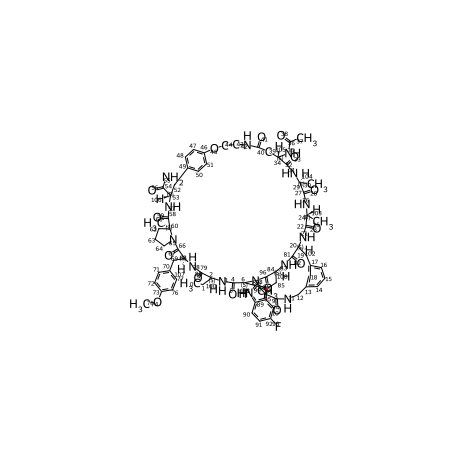 CC[C@@H]1NC(=O)[C@@H]2CCC(=O)NCc3cccc(c3)C[C@H](NC(=O)[C@@H](C)NC(=O)[C@H](C)NC(=O)[C@@H](NC(C)=O)CC(=O)NCCOc3ccc(cc3)C[C@@H](C(N)=O)NC(=O)[C@]3(C)CCCN3C(=O)[C@H](Cc3ccc(OC)cc3)NC1=O)C(=O)N[C@@H](Cc1c[nH]c3ccc(F)cc13)C(=O)N2C